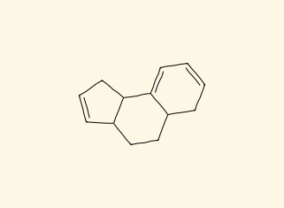 C1=CCC2CCC3C=CCC3C2=C1